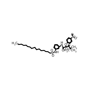 CCCCCCCCCCCCCCCCS(=O)(=O)Nc1cccc(NC(=O)C(Cl)(Oc2ccc([N+](=O)[O-])cc2)C(=O)C(C)(C)C)c1